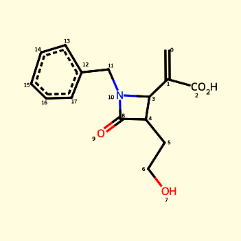 C=C(C(=O)O)C1C(CCO)C(=O)N1Cc1ccccc1